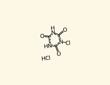 Cl.O=c1[nH]c(=O)n(Cl)c(=O)[nH]1